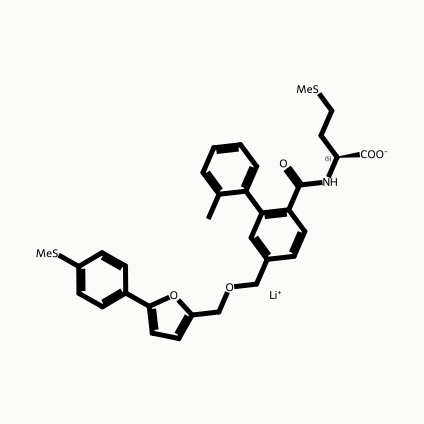 CSCC[C@H](NC(=O)c1ccc(COCc2ccc(-c3ccc(SC)cc3)o2)cc1-c1ccccc1C)C(=O)[O-].[Li+]